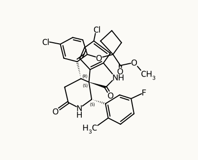 COC(=O)C1(Oc2ccc(Cl)cc2[C@H]2CC(=O)N[C@@H](c3cc(F)ccc3C)[C@]23C(=O)Nc2cc(Cl)ccc23)CCC1